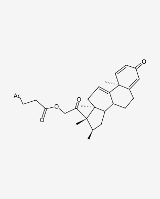 CC(=O)CCC(=O)OCC(=O)[C@@]1(C)[C@H](C)CC2C3CCC4=CC(=O)C=C[C@]4(C)C3=CC[C@@]21C